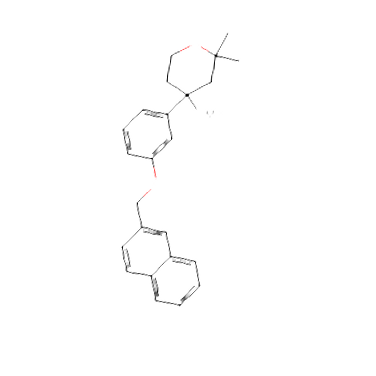 COC1(c2cccc(OCc3ccc4ccccc4c3)c2)CCOC(C)(C)C1